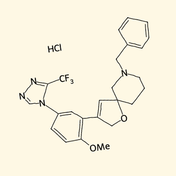 COc1ccc(-n2cnnc2C(F)(F)F)cc1C1=CC2(CCCN(Cc3ccccc3)C2)OC1.Cl